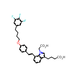 O=C(O)CCCc1cn(CC(=O)O)c2c(C=Cc3ccc(OCCCCc4cc(F)c(F)c(F)c4)cc3)cccc12